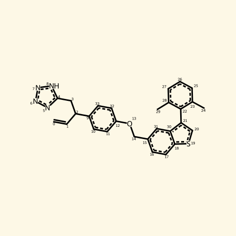 C=CC(Cc1nnn[nH]1)c1ccc(OCc2ccc3scc(-c4c(C)cccc4C)c3c2)cc1